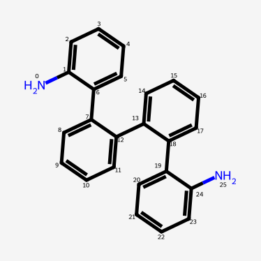 Nc1ccccc1-c1ccccc1-c1ccccc1-c1ccccc1N